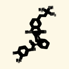 COc1ccc(CCC(C)(C)O)cc1C(=O)N[C@@H]1C2CCC(/C2=C/C2CC2)[C@@H]1C(=O)Nc1ccc(F)c(C(F)(F)F)c1